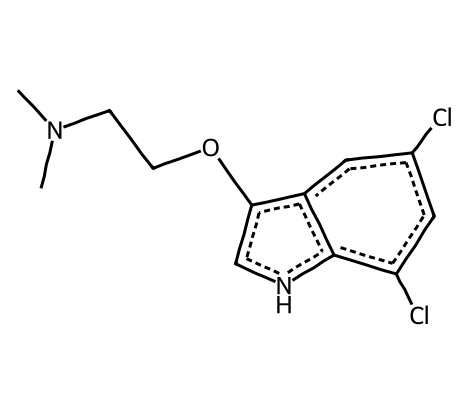 CN(C)CCOc1c[nH]c2c(Cl)cc(Cl)cc12